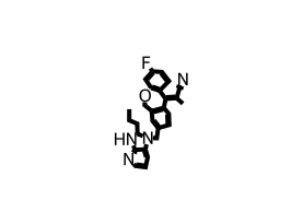 CCCC1Nc2ncccc2N1Cc1ccc2c(c1)COc1cc(F)ccc1/C2=C(/C)C#N